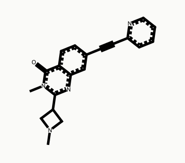 CN1CC(c2nc3cc(C#Cc4ccccn4)ccc3c(=O)n2C)C1